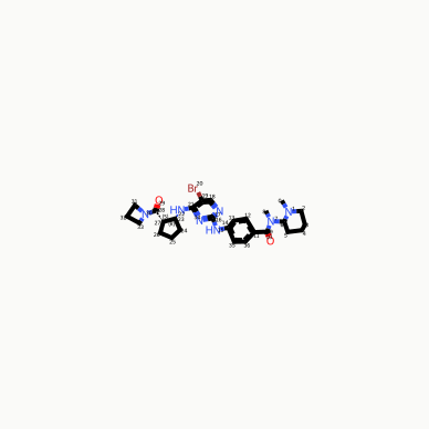 CN1CCCCC1N(C)C(=O)c1ccc(Nc2ncc(Br)c(N[C@@H]3CCC[C@@H]3C(=O)N3CCC3)n2)cc1